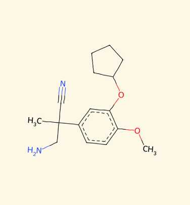 COc1ccc(C(C)(C#N)CN)cc1OC1CCCC1